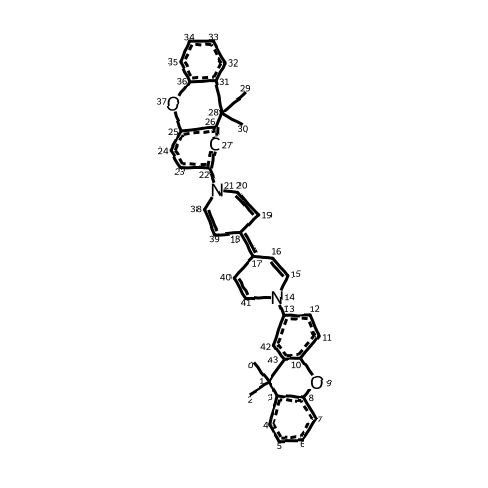 CC1(C)c2ccccc2Oc2ccc(N3C=CC(=C4C=CN(c5ccc6c(c5)C(C)(C)c5ccccc5O6)C=C4)C=C3)cc21